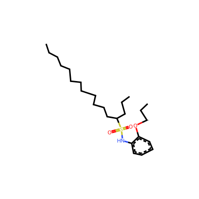 CC[CH]Oc1ccccc1NS(=O)(=O)C(CCC)CCCCCCCCCCCC